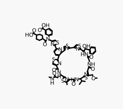 CNC(=O)C[C@@H]1NC(=O)c2csc(n2)-c2ccc(-c3nc(N(C(=O)C4CCC(C(=O)O)CC4)c4cccc(C(=O)O)c4)cs3)nc2-c2csc(n2)-c2csc(n2)[C@H]([C@@H](O)c2ccccc2)NC(=O)CNC(=O)c2nc(sc2COC)C(C(C)C)NC(=O)c2nc1sc2C